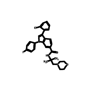 CC(C)(CN1CCOCC1)NC(=O)c1ccc2c(-c3ccccc3Cl)cn(-c3ccc(F)cc3)c2c1